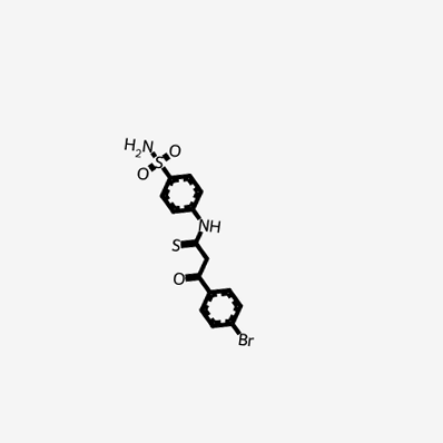 NS(=O)(=O)c1ccc(NC(=S)CC(=O)c2ccc(Br)cc2)cc1